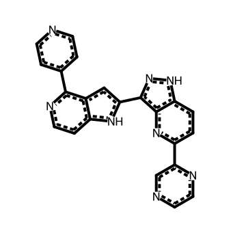 c1cc(-c2nccc3[nH]c(-c4n[nH]c5ccc(-c6cnccn6)nc45)cc23)ccn1